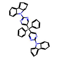 c1ccc([Si](c2ccccc2)(c2cnc(-n3c4ccccc4c4ccccc43)nc2)c2cnc(-n3c4ccccc4c4ccccc43)nc2)cc1